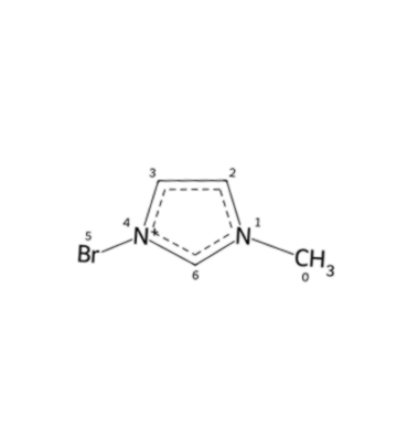 Cn1cc[n+](Br)c1